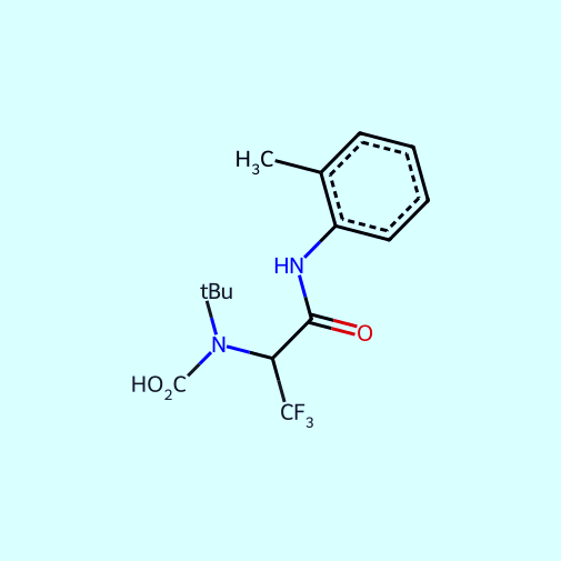 Cc1ccccc1NC(=O)C(N(C(=O)O)C(C)(C)C)C(F)(F)F